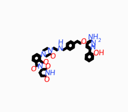 Nc1nnc(-c2ccccc2O)cc1OCCc1ccc(CNCCN2CCN(c3cccc4c3C(=O)N(C3CCC(=O)NC3=O)C4=O)CC2=O)cc1